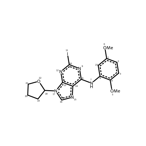 COc1ccc(OC)c(Nc2nc(I)nc3c2ncn3C2CCCO2)c1